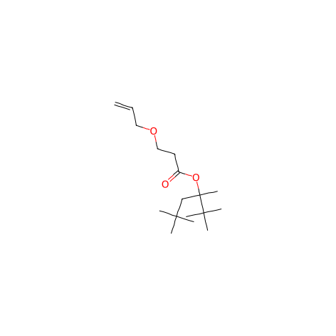 C=CCOCCC(=O)OC(C)(CC(C)(C)C)C(C)(C)C